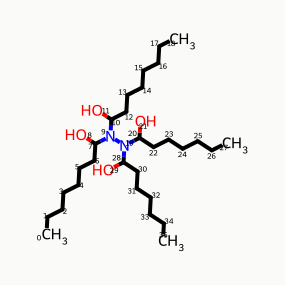 CCCCCCCC(O)N(C(O)CCCCCCC)N(C(O)CCCCCC)C(O)CCCCCC